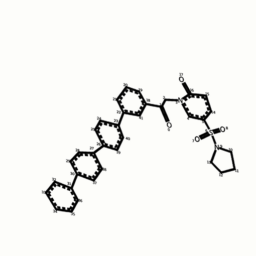 O=C(Cn1cc(S(=O)(=O)N2CCCC2)ccc1=O)c1cccc(-c2ccc(-c3ccc(-c4ccccc4)cc3)cc2)c1